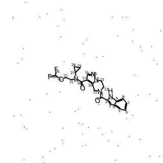 O=C(c1cc2ccccc2[nH]1)N1CCn2ncc(C(=O)N(CCOC(F)F)C3CC3)c2C1